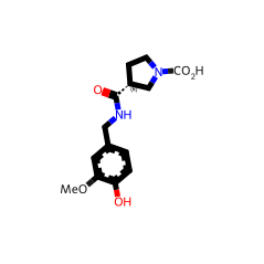 COc1cc(CNC(=O)[C@@H]2CCN(C(=O)O)C2)ccc1O